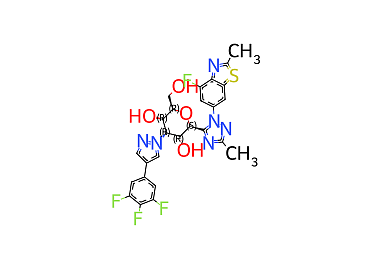 Cc1nc([C@@H]2O[C@H](CO)[C@H](O)[C@H](n3cc(-c4cc(F)c(F)c(F)c4)cn3)[C@H]2O)n(-c2cc(F)c3nc(C)sc3c2)n1